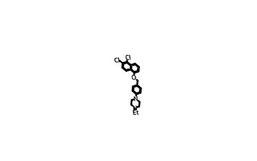 CCN1CCN(c2ccc(COc3cccc4c(Cl)c(Cl)ccc34)cc2)CC1